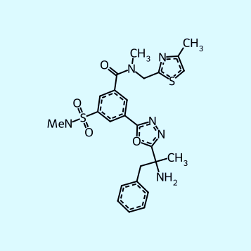 CNS(=O)(=O)c1cc(C(=O)N(C)Cc2nc(C)cs2)cc(-c2nnc(C(C)(N)Cc3ccccc3)o2)c1